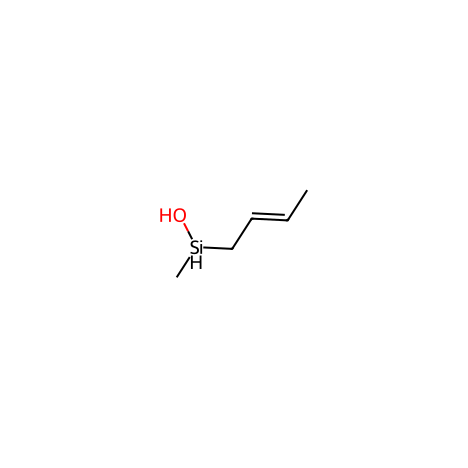 CC=CC[SiH](C)O